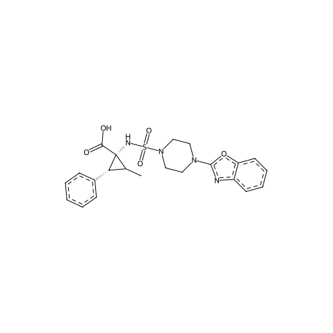 CC1[C@H](c2ccccc2)[C@@]1(NS(=O)(=O)N1CCN(c2nc3ccccc3o2)CC1)C(=O)O